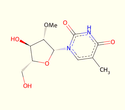 CO[C@H]1[C@H](O)[C@@H](CO)O[C@H]1n1cc(C)c(=O)[nH]c1=O